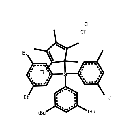 CCc1cc(CC)cc([Si](c2cc(C)cc(C)c2)(c2cc(C(C)(C)C)cc(C(C)(C)C)c2)C2(C)C(C)=C(C)C(C)=[C]2[Ti+3])c1.[Cl-].[Cl-].[Cl-]